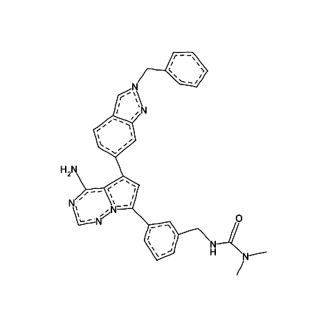 CN(C)C(=O)NCc1cccc(-c2cc(-c3ccc4cn(Cc5ccccc5)nc4c3)c3c(N)ncnn23)c1